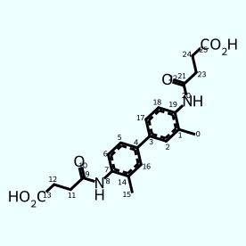 Cc1cc(-c2ccc(NC(=O)CCC(=O)O)c(C)c2)ccc1NC(=O)CCC(=O)O